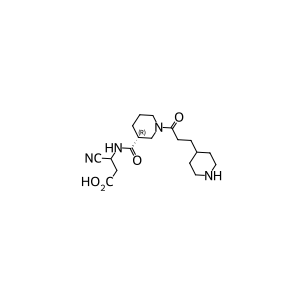 N#CC(CC(=O)O)NC(=O)[C@@H]1CCCN(C(=O)CCC2CCNCC2)C1